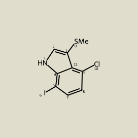 CSc1c[nH]c2c(I)ccc(Cl)c12